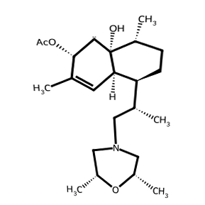 CC(=O)O[C@@H]1[C][C@@]2(O)[C@H](C)CC[C@@H]([C@H](C)CN3C[C@@H](C)O[C@@H](C)C3)[C@H]2C=C1C